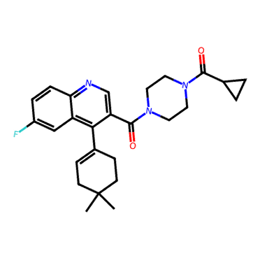 CC1(C)CC=C(c2c(C(=O)N3CCN(C(=O)C4CC4)CC3)cnc3ccc(F)cc23)CC1